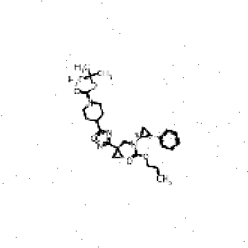 C=CCOC(=O)N(CC1(c2noc(C3CCN(C(=O)OC(C)(C)C)CC3)n2)CC1)[C@H]1C[C@@H]1c1ccccc1